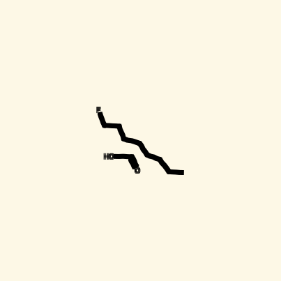 CCCCCCCCF.O=CO